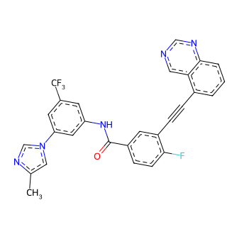 Cc1cn(-c2cc(NC(=O)c3ccc(F)c(C#Cc4cccc5ncncc45)c3)cc(C(F)(F)F)c2)cn1